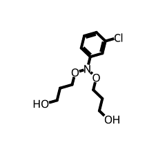 OCCCON(OCCCO)c1cccc(Cl)c1